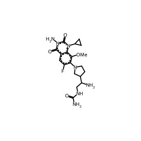 COc1c(N2CCC(C(N)CNC(N)=O)C2)c(F)cc2c(=O)n(N)c(=O)n(C3CC3)c12